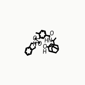 Cc1ccc(C(=O)NC(C)C23CC4CC(CC(O)(C4)C2)C3)cc1S(=O)(=O)N1Cc2ccccc2C1